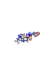 Cc1cccc(-c2nn3c(c2-c2ccnc4ccc(OC(=O)NCCN5CCOCC5)cc24)CCC3)n1